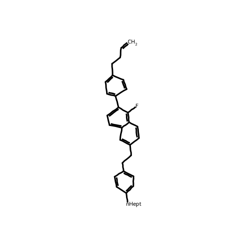 C=CCCc1ccc(-c2ccc3cc(CCc4ccc(CCCCCCC)cc4)ccc3c2F)cc1